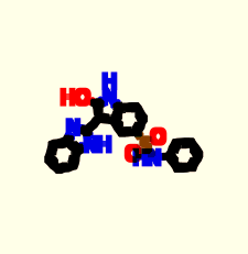 O=S(=O)(Nc1ccccc1)c1ccc2[nH]c(O)c(-c3nc4ccccc4[nH]3)c2c1